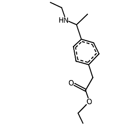 CCNC(C)c1ccc(CC(=O)OCC)cc1